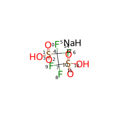 O=S(=O)(O)C(F)(F)C(F)(F)S(=O)(=O)O.[NaH]